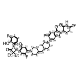 CCC1(CC)C(=O)N(c2cccc(F)c2O)[C@H]1c1cc(F)c(N2CCC(CN3CCN(c4cc5c(cc4F)C(=O)N([C@H]4CCC(=O)NC4=O)C5)CC3)CC2)cc1OC